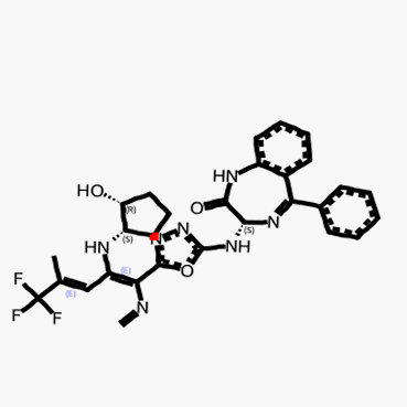 C=N/C(=C(\C=C(/C)C(F)(F)F)N[C@H]1CCC[C@H]1O)c1nnc(N[C@H]2N=C(c3ccccc3)c3ccccc3NC2=O)o1